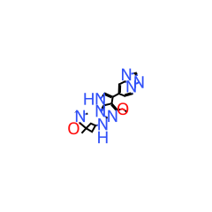 COc1nc(NC2CC(C)(C(=O)N(C)C)C2)nc2[nH]cc(-c3ccn4ncnc4c3)c12